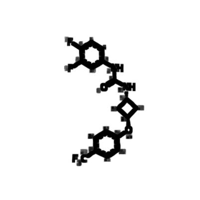 O=C(Nc1ccc(F)c(F)c1)N[C@H]1C[C@H](Oc2ccc(C(F)(F)F)cc2)C1